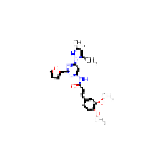 COc1ccc(C=CC(=O)Nc2cc(-n3nc(C)cc3C)nc(-c3ccco3)n2)cc1OC